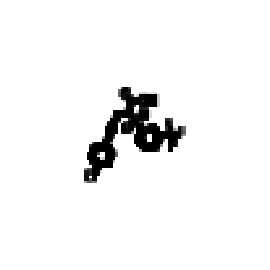 O=C(O)C(CC#Cc1ccc(Cl)cc1)S(=O)(=O)c1cccc(C(F)(F)F)c1